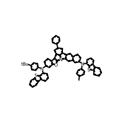 Cc1ccc(N(c2ccc3cc4c5cc(-c6ccccc6)cc6c7c8ccc(N(c9ccc(C(C)(C)C)cc9)c9cccc%10c9sc9ccccc9%10)cc8oc7n(c4cc3c2)c56)c2cccc3c2sc2ccccc23)cc1